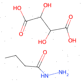 CCCC(=O)NN.O=C(O)C(O)C(O)C(=O)O